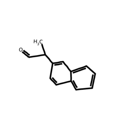 CC([C]=O)c1ccc2ccccc2c1